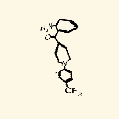 Nc1ccccc1C(=O)C1CCN(c2[c]cc(C(F)(F)F)cc2)CC1